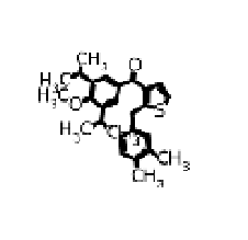 COc1c(C(C)C)cc(C(=O)c2ccsc2Cc2ccc(C)c(C)c2)cc1C(C)C